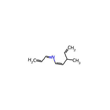 C=C/C=N\C=C/C(C)C=C